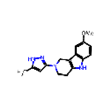 COc1ccc2[nH]c3c(c2c1)CN(c1cc(C)[nH]n1)CC3